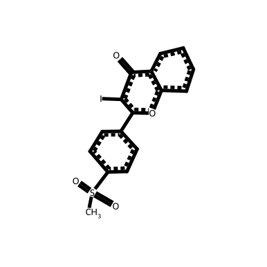 CS(=O)(=O)c1ccc(-c2oc3ccccc3c(=O)c2I)cc1